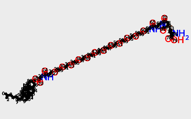 CC(C)CCC[C@@H](C)[C@H]1CC[C@H]2[C@@H]3CC=C4CC(OC(=O)CNC(=O)CCOCCOCCOCCOCCOCCOCCOCCOCCOCCOCCOCCOCCNC(=O)CCN5C(=O)CC(SC[C@H](N)C(=O)O)C5=O)CC[C@]4(C)[C@H]3CC[C@]12C